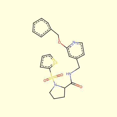 O=C(NCc1ccnc(OCc2ccccc2)c1)C1CCCN1S(=O)(=O)c1cccs1